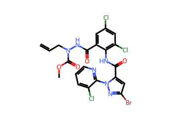 C=CCN(NC(=O)c1cc(Cl)cc(Cl)c1NC(=O)c1cc(Br)nn1-c1ncccc1Cl)C(=O)OC